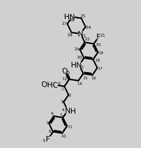 O=CC(CCNc1ccc(F)cc1)C(=O)CC1=CCc2cc(F)c(N3CCNCC3)cc2N1